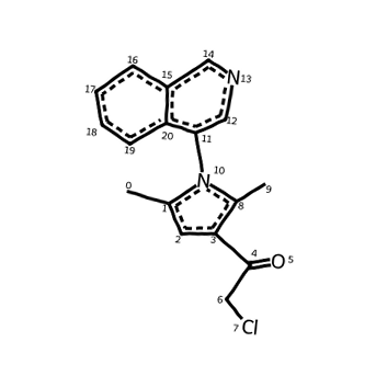 Cc1cc(C(=O)CCl)c(C)n1-c1cncc2ccccc12